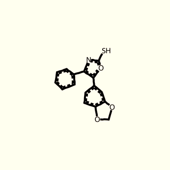 Sc1nc(-c2ccccc2)c(-c2ccc3c(c2)OCO3)o1